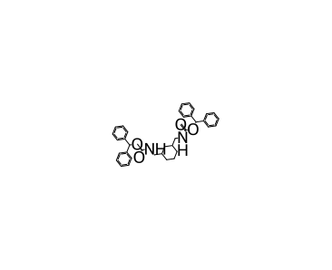 O=C(NCC1CCCC(CNC(=O)OC(c2ccccc2)c2ccccc2)C1)OC(c1ccccc1)c1ccccc1